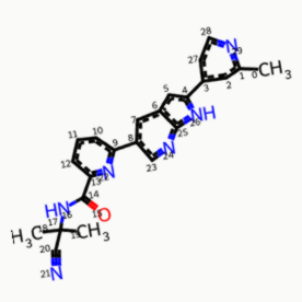 Cc1cc(-c2cc3cc(-c4cccc(C(=O)NC(C)(C)C#N)n4)cnc3[nH]2)ccn1